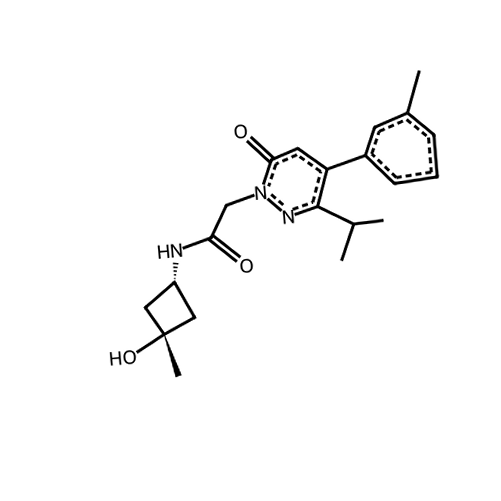 Cc1cccc(-c2cc(=O)n(CC(=O)N[C@H]3C[C@@](C)(O)C3)nc2C(C)C)c1